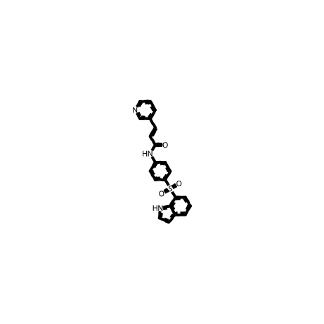 O=C(C=Cc1cccnc1)Nc1ccc(S(=O)(=O)c2cccc3cc[nH]c23)cc1